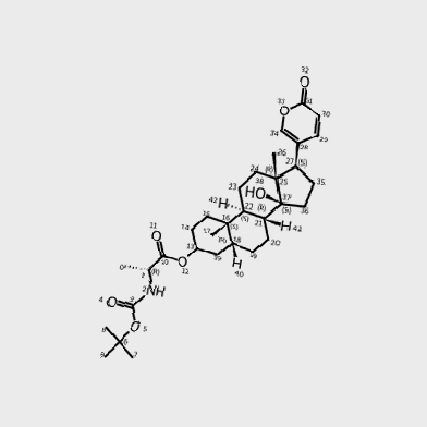 C[C@@H](NC(=O)OC(C)(C)C)C(=O)OC1CC[C@@]2(C)[C@H](CC[C@@H]3[C@@H]2CC[C@]2(C)[C@@H](c4ccc(=O)oc4)CC[C@]32O)C1